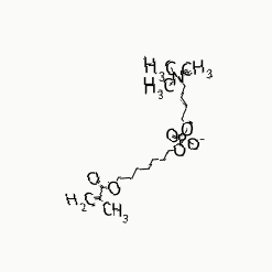 C=C(C)C(=O)OCCCCCCCOP(=O)([O-])OCCCC[N+](C)(C)C